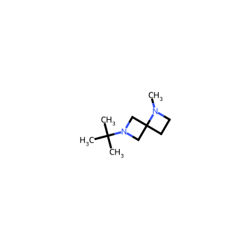 CN1CCC12CN(C(C)(C)C)C2